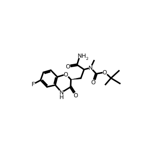 CN(C(=O)OC(C)(C)C)C(C[C@@H]1Oc2ccc(F)cc2NC1=O)C(N)=O